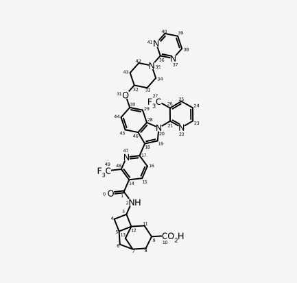 O=C(NC1CC2CC3CC(C(=O)O)CC21C3)c1ccc(-c2cn(-c3ncccc3C(F)(F)F)c3cc(OC4CCN(c5ncccn5)CC4)ccc23)nc1C(F)(F)F